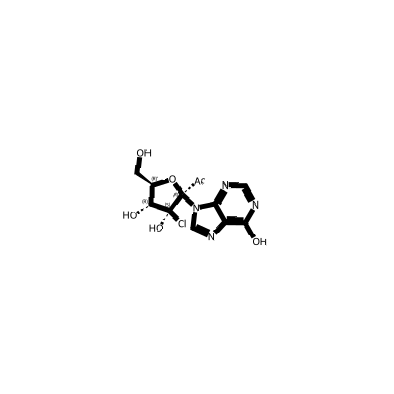 CC(=O)[C@@]1(n2cnc3c(O)ncnc32)O[C@H](CO)[C@@H](O)[C@]1(O)Cl